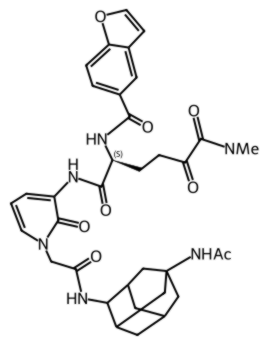 CNC(=O)C(=O)CC[C@H](NC(=O)c1ccc2occc2c1)C(=O)Nc1cccn(CC(=O)NC2C3CC4CC2CC(NC(C)=O)(C4)C3)c1=O